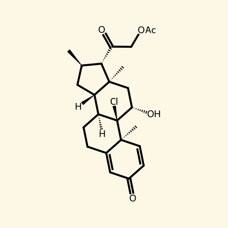 CC(=O)OCC(=O)[C@H]1[C@H](C)C[C@H]2[C@@H]3CCC4=CC(=O)C=C[C@]4(C)[C@@]3(Cl)[C@@H](O)C[C@@]21C